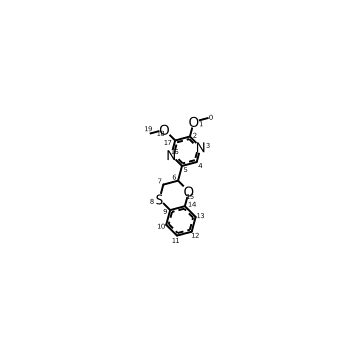 COc1ncc(C2CSc3ccccc3O2)nc1OC